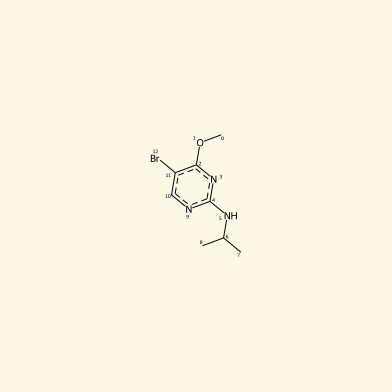 COc1nc(NC(C)C)ncc1Br